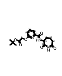 CC(C)(C)OC(=O)COc1cccc(C(=O)NC2CCCC(=O)NC2=O)n1